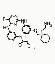 C=CC(=O)Nc1cccc(Nc2nc(Nc3cccc(OCC4(CCN)CCCCC4)c3)ncc2F)c1